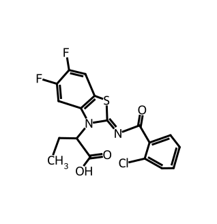 CCC(C(=O)O)n1c(=NC(=O)c2ccccc2Cl)sc2cc(F)c(F)cc21